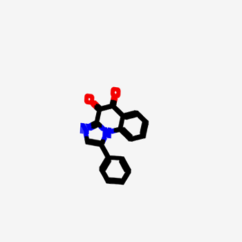 O=C1C(=O)c2ncc(-c3ccccc3)n2-c2ccccc21